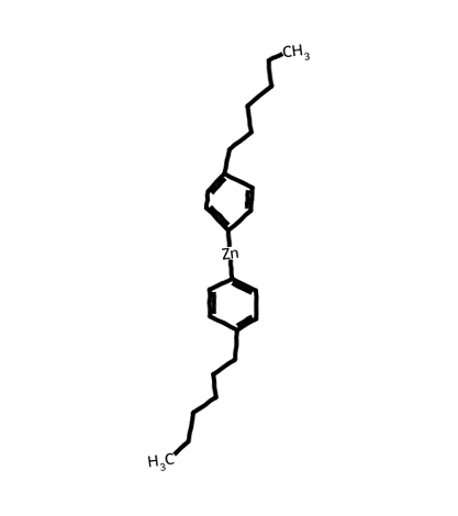 CCCCCCc1cc[c]([Zn][c]2ccc(CCCCCC)cc2)cc1